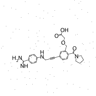 N=C(N)c1ccc(NCC#Cc2ccc(C(=O)N3CCCC3)c(COCC(=O)O)c2)cc1